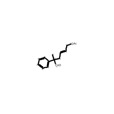 CC(=O)OC/C=C/CC(C)(C=O)c1ccccc1